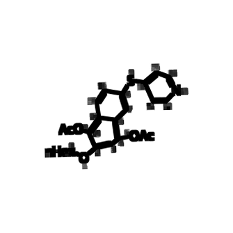 CCCCCCOc1cc(OC(C)=O)c2cc(Sc3ccncc3)ccc2c1OC(C)=O